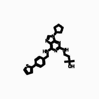 CC(C)(O)CCNc1nc(NCc2ccc(-c3cccs3)cc2)c2ncn(C3CCCC3)c2n1